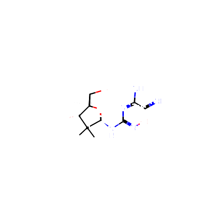 CC1(C)[C@H](NC(=N/O)/N=C(/N)C=N)O[C@](C)(CO)[C@H]1O